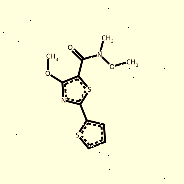 COc1nc(-c2cccs2)sc1C(=O)N(C)OC